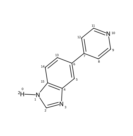 [2H]n1cnc2cc(-c3ccncc3)ccc21